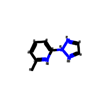 Cc1cccc(-n2nccn2)n1